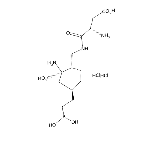 Cl.Cl.N[C@@H](CC(=O)O)C(=O)NC[C@@H]1CC[C@@H](CCB(O)O)C[C@]1(N)C(=O)O